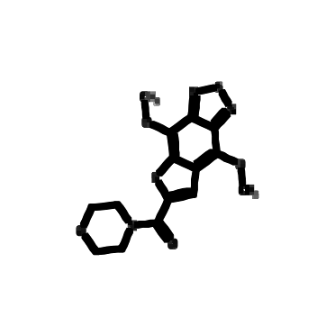 COc1c2cc(C(=O)N3CCOCC3)sc2c(OC)c2nsnc12